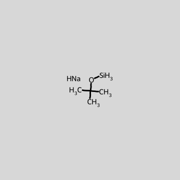 CC(C)(C)O[SiH3].[NaH]